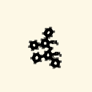 Cc1c(Oc2cc(-c3ccccc3)cc(-c3ccccc3)c2C)cc(-c2ccccc2)cc1-c1ccccc1